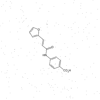 O=C(/C=C/c1ccco1)Nc1ccc(C(=O)O)cc1